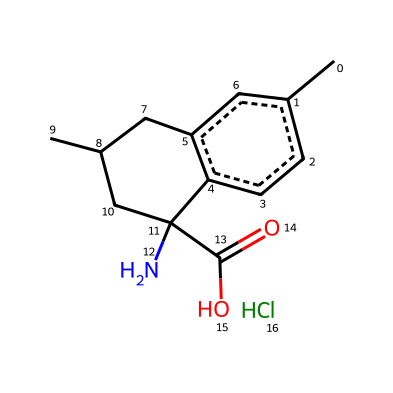 Cc1ccc2c(c1)CC(C)CC2(N)C(=O)O.Cl